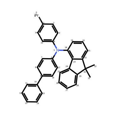 CC(C)c1ccc(N(c2ccc(-c3ccccc3)cc2)c2cccc3c2-c2ccccc2C3(C)C)cc1